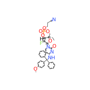 CC[C@@]12COP(=O)(OCCC#N)O[C@H]1[C@@H](F)[C@H](n1ccc(NC(c3ccccc3)(c3ccccc3)c3ccc(OC)cc3)nc1=O)O2